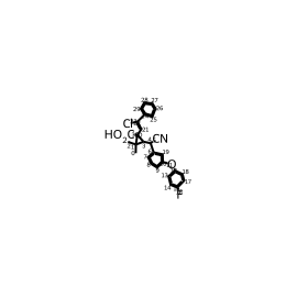 CC1(C)C(C(C#N)c2cccc(Oc3ccc(F)cc3)c2)C1(C=C(Cl)c1ccccc1)C(=O)O